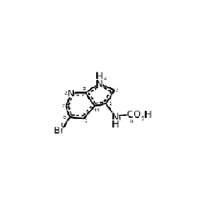 O=C(O)Nc1c[nH]c2ncc(Br)cc12